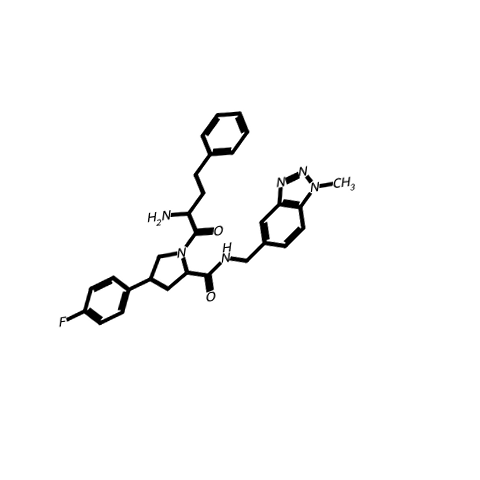 Cn1nnc2cc(CNC(=O)C3CC(c4ccc(F)cc4)CN3C(=O)C(N)CCc3ccccc3)ccc21